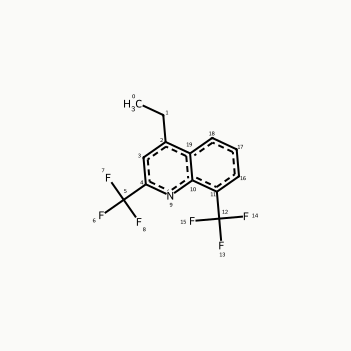 CCc1cc(C(F)(F)F)nc2c(C(F)(F)F)cccc12